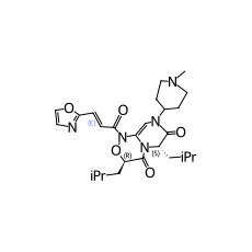 CC(C)C[C@H]1ON(C(=O)/C=C/c2ncco2)C2=CN(C3CCN(C)CC3)C(=O)[C@H](CC(C)C)N2C1=O